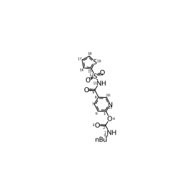 CCCCNC(=O)Oc1ccc(C(=O)NS(=O)(=O)c2cccs2)cn1